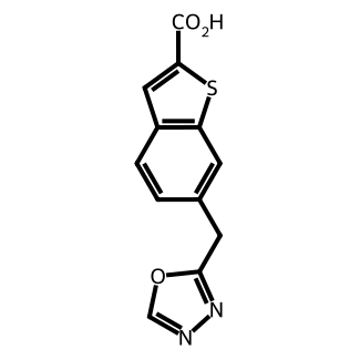 O=C(O)c1cc2ccc(Cc3nnco3)cc2s1